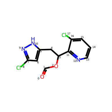 O=COC(Cc1cc(Cl)n[nH]1)c1ncccc1Cl